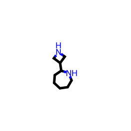 C1CCNC(C2CNC2)CC1